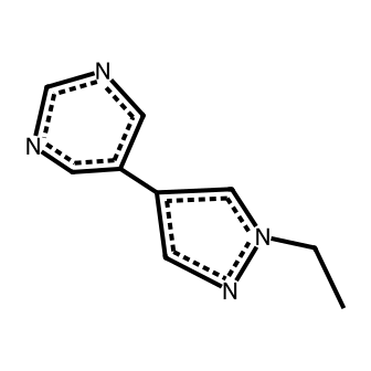 CCn1cc(-c2cncnc2)cn1